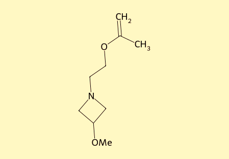 C=C(C)OCCN1CC(OC)C1